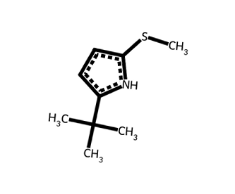 CSc1ccc(C(C)(C)C)[nH]1